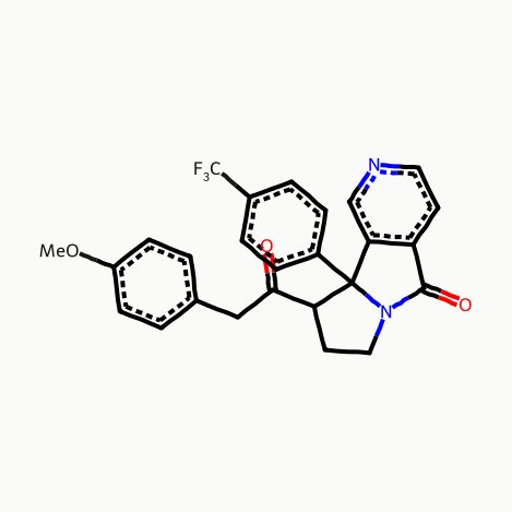 COc1ccc(CC(=O)C2CCN3C(=O)c4ccncc4C23c2ccc(C(F)(F)F)cc2)cc1